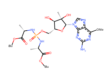 CCC(C)OC(=O)[C@H](C)NP(=O)(N[C@@H](C)C(=O)OC(C)CC)OC[C@H]1O[C@@H](n2cnc3c(OC)nc(N)nc32)[C@](C)(O)[C@@H]1O